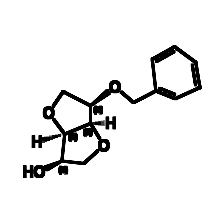 O[C@@H]1CO[C@H]2[C@@H]1OC[C@H]2OCc1ccccc1